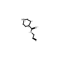 C=CCOC(=O)C1CCNCC1